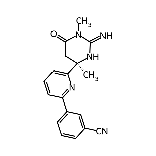 CN1C(=N)N[C@@](C)(c2cccc(-c3cccc(C#N)c3)n2)CC1=O